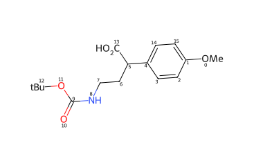 COc1ccc(C(CCNC(=O)OC(C)(C)C)C(=O)O)cc1